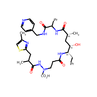 Cc1csc(CC(C)C(=O)NN(CCC(=O)N[C@@H](CC(C)C)[C@@H](O)C[C@@H](C)C(=O)NC(C(=O)NCc2ccncc2)C(C)C)C(=O)O)n1